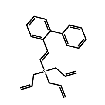 C=CC[Si](C=Cc1ccccc1-c1ccccc1)(CC=C)CC=C